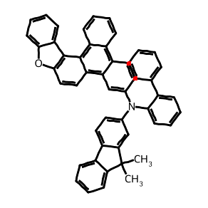 CC1(C)c2ccccc2-c2ccc(N(c3ccc4c5ccccc5c5c(ccc6oc7ccccc7c65)c4c3)c3ccccc3-c3ccccc3)cc21